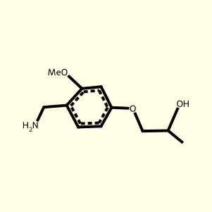 COc1cc(OCC(C)O)ccc1CN